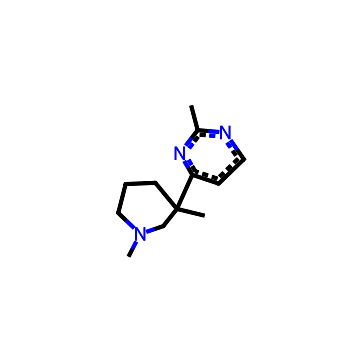 Cc1nccc(C2(C)CCCN(C)C2)n1